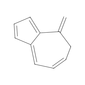 C=C1CC=CC=C2C=CC=C12